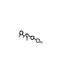 CC(c1ccccc1F)n1ncn(-c2ccc(C3CCNCC3)cc2)c1=O